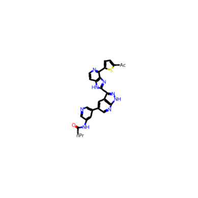 CCCC(=O)Nc1cncc(-c2cnc3[nH]nc(-c4nc5c(-c6ccc(C(C)=O)s6)nccc5[nH]4)c3c2)c1